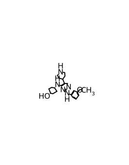 COc1cccc(Nc2ncc(C3CCNCC3)c(N[C@H]3CC[C@H](O)CC3)n2)c1